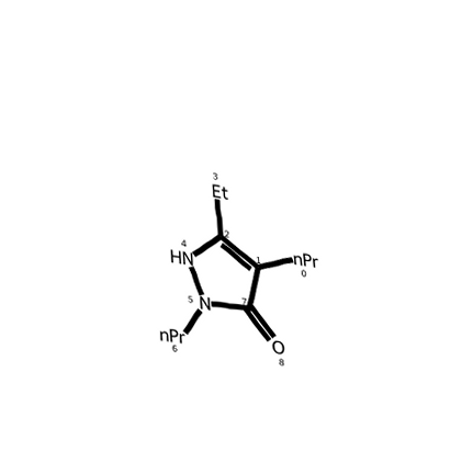 CCCc1c(CC)[nH]n(CCC)c1=O